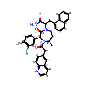 C[C@@H]1CCN(C(Cc2cccc3ccccc23)C(N)=O)C(=O)[C@H](c2ccc(F)c(F)c2)N1C(=O)Cc1ccc2ncccc2c1